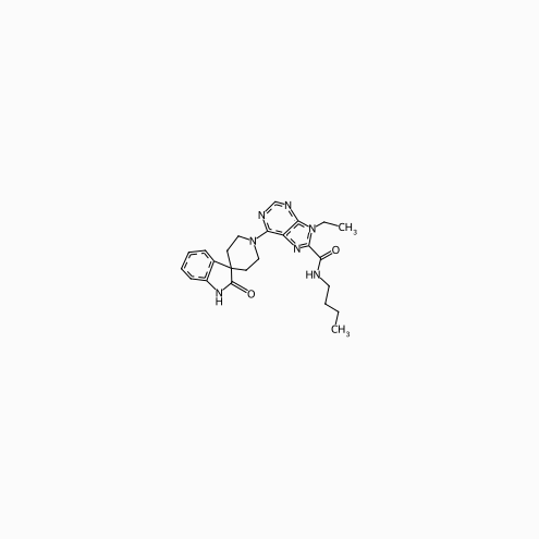 CCCCNC(=O)c1nc2c(N3CCC4(CC3)C(=O)Nc3ccccc34)ncnc2n1CC